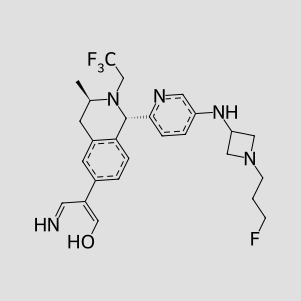 C[C@@H]1Cc2cc(/C(C=N)=C/O)ccc2[C@@H](c2ccc(NC3CN(CCCF)C3)cn2)N1CC(F)(F)F